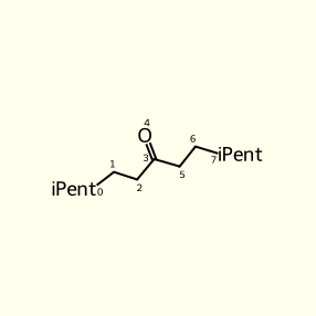 CCCC(C)CCC(=O)CCC(C)CCC